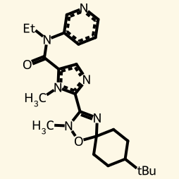 CCN(C(=O)c1cnc(C2=NC3(CCC(C(C)(C)C)CC3)ON2C)n1C)c1cccnc1